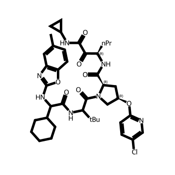 CCC[C@@H](NC(=O)[C@H]1C[C@@H](Oc2ccc(Cl)cn2)CN1C(=O)C(NC(=O)C(Nc1nc2cc(C)ccc2o1)C1CCCCC1)C(C)(C)C)C(=O)C(=O)NC1CC1